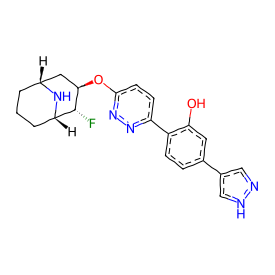 Oc1cc(-c2cn[nH]c2)ccc1-c1ccc(O[C@@H]2C[C@H]3CCC[C@H](N3)[C@H]2F)nn1